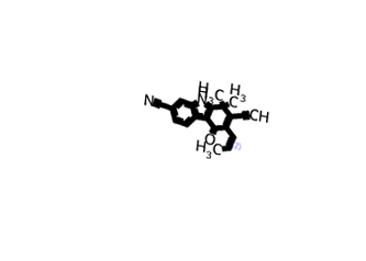 C#CC1=C(/C=C\C)C(=O)c2c([nH]c3cc(C#N)ccc23)C1(C)C